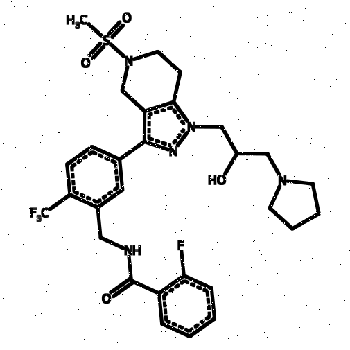 CS(=O)(=O)N1CCc2c(c(-c3ccc(C(F)(F)F)c(CNC(=O)c4ccccc4F)c3)nn2CC(O)CN2CCCC2)C1